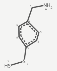 NCc1ccc(SS)cc1